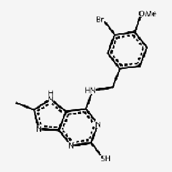 COc1ccc(CNc2nc(S)nc3nc(C)[nH]c23)cc1Br